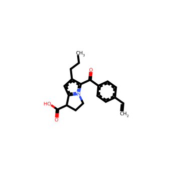 C=Cc1ccc(C(=O)c2c(CCC)cc3n2CCC3C(=O)O)cc1